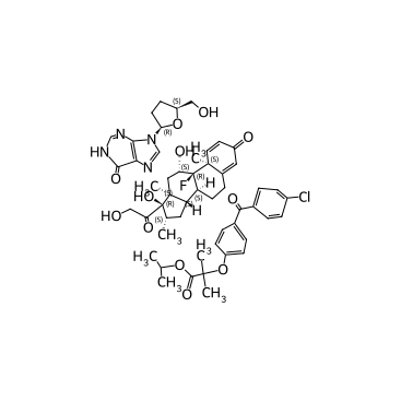 CC(C)OC(=O)C(C)(C)Oc1ccc(C(=O)c2ccc(Cl)cc2)cc1.C[C@H]1C[C@H]2[C@@H]3CCC4=CC(=O)C=C[C@]4(C)[C@@]3(F)[C@@H](O)C[C@]2(C)[C@@]1(O)C(=O)CO.O=c1[nH]cnc2c1ncn2[C@H]1CC[C@@H](CO)O1